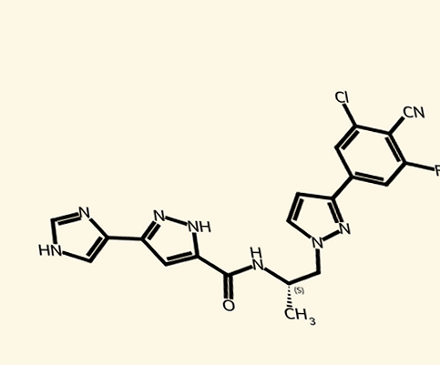 C[C@@H](Cn1ccc(-c2cc(F)c(C#N)c(Cl)c2)n1)NC(=O)c1cc(-c2c[nH]cn2)n[nH]1